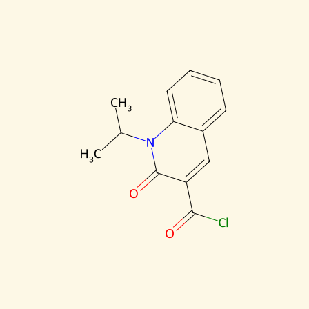 CC(C)n1c(=O)c(C(=O)Cl)cc2ccccc21